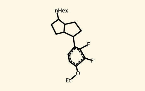 CCCCCCC1CCC2C(c3ccc(OCC)c(F)c3F)CCC12